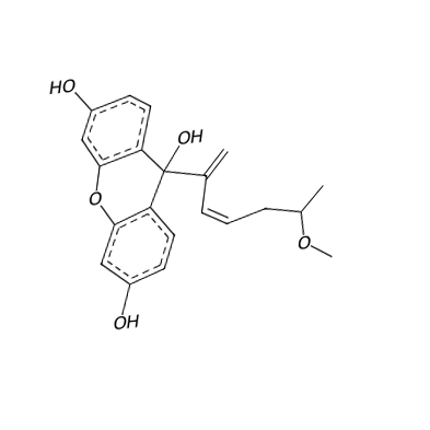 C=C(/C=C\CC(C)OC)C1(O)c2ccc(O)cc2Oc2cc(O)ccc21